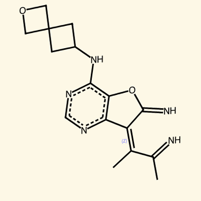 CC(=N)/C(C)=C1\C(=N)Oc2c(NC3CC4(COC4)C3)ncnc21